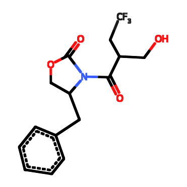 O=C1OCC(Cc2ccccc2)N1C(=O)C(CO)CC(F)(F)F